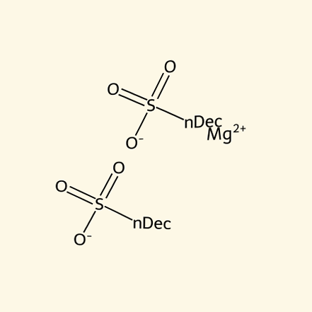 CCCCCCCCCCS(=O)(=O)[O-].CCCCCCCCCCS(=O)(=O)[O-].[Mg+2]